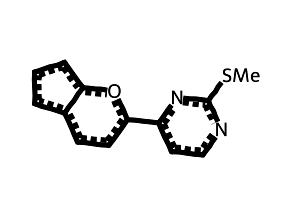 CSc1nccc(-c2ccc3cccc-3o2)n1